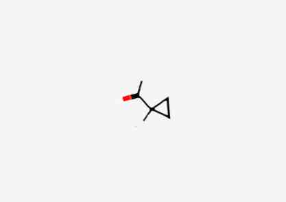 CC(C)(C)C(=O)C1(C#N)CC1